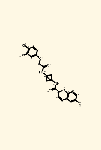 O=C(COc1ccc(Cl)c(F)c1)NC12CC(NC(=O)[C@@H]3C=Cc4cc(Cl)ccc4O3)(C1)C2